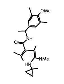 CN/C(NC1(C)CC1)=C(\C)C(C(=O)NC(C)c1cc(C)c(OC)c(C)c1)=C(C)C